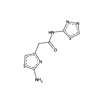 Nc1nc(CC(=O)Nc2nncs2)cs1